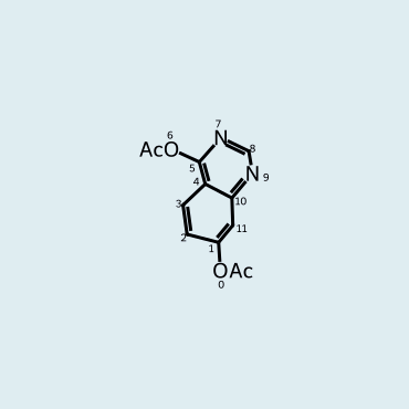 CC(=O)Oc1ccc2c(OC(C)=O)ncnc2c1